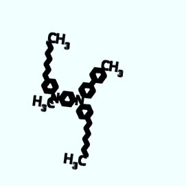 CCCCCCCCc1ccc(N(C)c2ccc(N(c3ccc(CCCCCCCC)cc3)c3ccc(-c4ccc(C)cc4)cc3)cc2)cc1